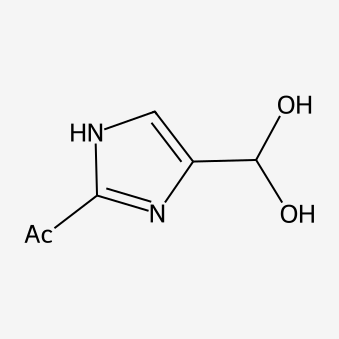 CC(=O)c1nc(C(O)O)c[nH]1